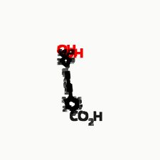 O=C(O)c1ccc(C#CC#C[C@H]2C[C@@](O)(CO)C2)cc1